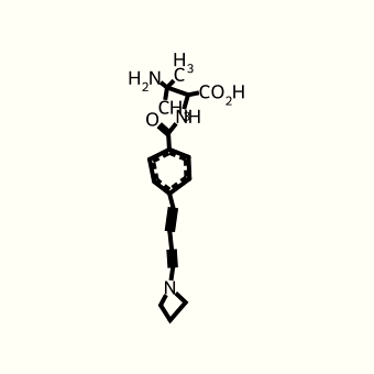 CC(C)(N)C(NC(=O)c1ccc(C#CC#CN2CCC2)cc1)C(=O)O